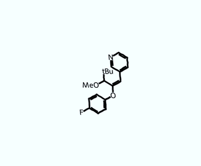 COC(/C(=C\c1cccnc1)Oc1ccc(F)cc1)C(C)(C)C